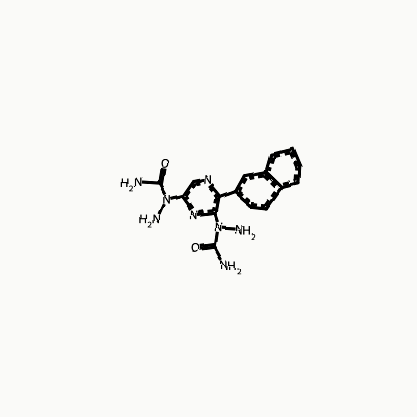 NC(=O)N(N)c1cnc(-c2ccc3ccccc3c2)c(N(N)C(N)=O)n1